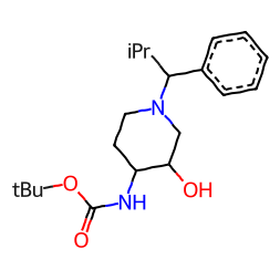 CC(C)C(c1ccccc1)N1CCC(NC(=O)OC(C)(C)C)C(O)C1